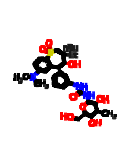 CCCC[C@]1(CC)CS(=O)(=O)c2ccc(N(C)C)cc2[C@@H](c2cccc(NC(=O)N[C@@H]3O[C@H](CO)[C@@H](O)[C@H](C)[C@H]3O)c2)[C@H]1O